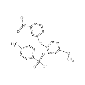 COc1ccc([I+]c2cccc([N+](=O)[O-])c2)cc1.Cc1ccc(S(=O)(=O)[O-])cc1